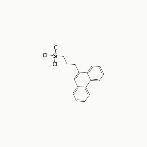 Cl[Si](Cl)(Cl)CCCc1cc2ccccc2c2ccccc12